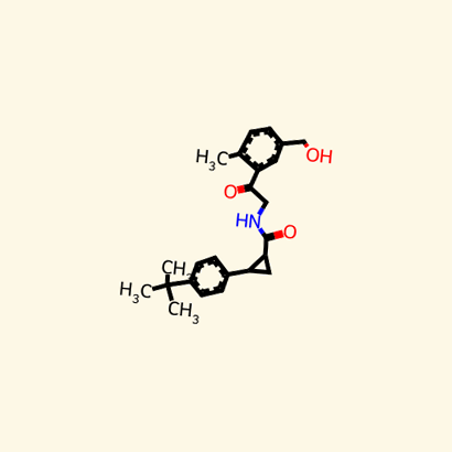 Cc1ccc(CO)cc1C(=O)CNC(=O)C1CC1c1ccc(C(C)(C)C)cc1